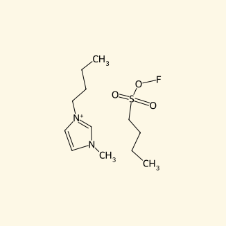 CCCCS(=O)(=O)OF.CCCC[n+]1ccn(C)c1